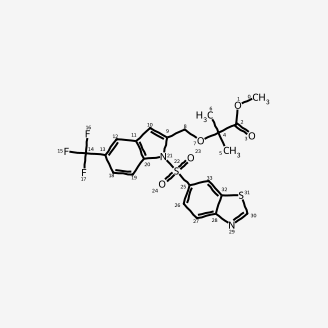 COC(=O)C(C)(C)OCc1cc2cc(C(F)(F)F)ccc2n1S(=O)(=O)c1ccc2ncsc2c1